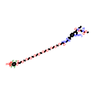 CCCN(OCCNC(=O)OCC)C(=O)C1=Cc2ccc(-c3cnc(CNC(=O)CCOCCOCCOCCOCCOCCOCCOCCOCCOCCOCCC(=O)Oc4c(F)c(F)c(S(=O)(=O)O)c(F)c4F)nc3)cc2N=C(N)C1